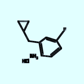 Cl.Fc1cccc(CC2CC2)c1.N